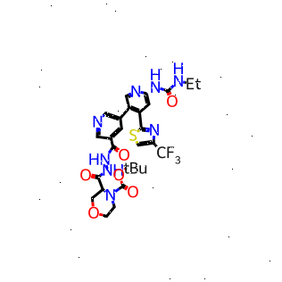 CCNC(=O)Nc1cc(-c2nc(C(F)(F)F)cs2)c(-c2cncc(C(=O)NNC(=O)C3COCCN3C(=O)OC(C)(C)C)c2)cn1